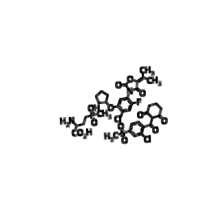 CC(C)=C1OC(=O)N(c2cc(OC3CCCC3)c(Cl)cc2F)C1=O.CP(=O)(O)CCC(N)C(=O)O.CS(=O)(=O)c1ccc(C(=O)C2C(=O)CCCC2=O)c(Cl)c1